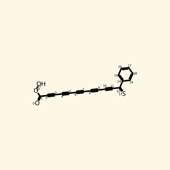 O=C(C#CC#CC#CC#CC#CC(=S)c1ccccc1)OO